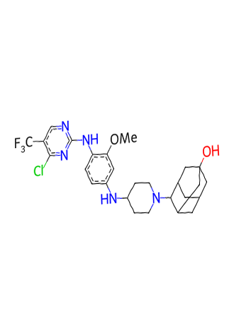 COc1cc(NC2CCN(C3C4CC5CC3CC(O)(C5)C4)CC2)ccc1Nc1ncc(C(F)(F)F)c(Cl)n1